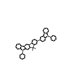 CC1(C)c2cc(-c3ccc4c(c3)c3ccccc3n4-c3ccccc3)ccc2-c2cc3c4ccccc4n(-c4ccccc4)c3cc21